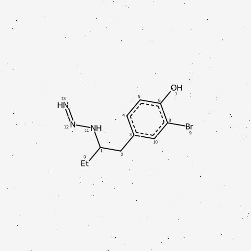 CCC(Cc1ccc(O)c(Br)c1)NN=N